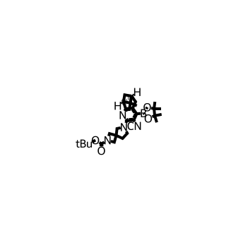 CC(C)(C)OC(=O)N1CC2(CCN(c3nc4c(c(B5OC(C)(C)C(C)(C)O5)c3C#N)C[C@H]3C[C@@H]4C3(C)C)C2)C1